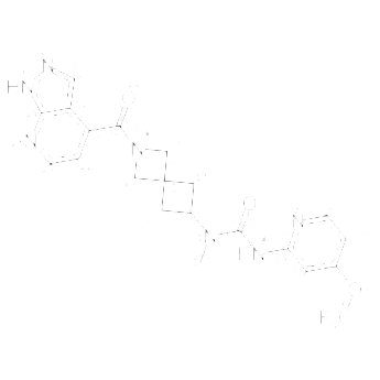 CN(C(=O)Nc1cc(OC(F)(F)F)ccn1)C1CC2(C1)CN(C(=O)c1ccnc3[nH]ncc13)C2